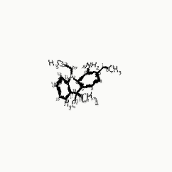 CCc1ccc2c(c1N)P(CC)c1ccccc1C2(C)C